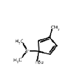 CCCC[C]1([Zr]([CH3])[CH3])C=CC(C)=C1